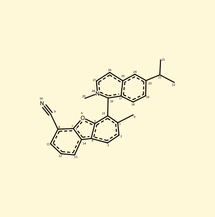 Cc1ccc2c(oc3c(C#N)cccc32)c1-c1c2ccc(C(C)C)cc2cc[n+]1C